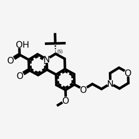 COc1cc2c(cc1OCCN1CCOCC1)C[C@@H](C(C)(C)C)n1cc(C(=O)O)c(=O)cc1-2